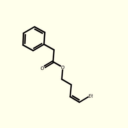 CC/C=C\CCOC(=O)Cc1ccccc1